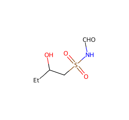 CCC(O)CS(=O)(=O)NC=O